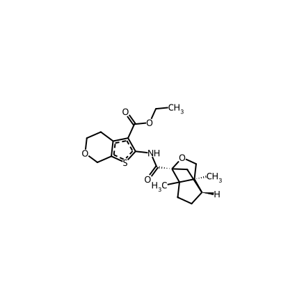 CCOC(=O)c1c(NC(=O)[C@]23C[C@H]4CCC2(C)[C@@]4(C)CO3)sc2c1CCOC2